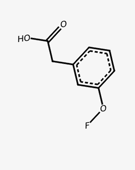 O=C(O)Cc1cccc(OF)c1